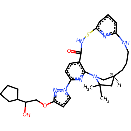 CC1(C)C[C@@H]2CCCNc3cccc(n3)SNC(=O)c3ccc(-n4ccc(OCC(O)C5CCCC5)n4)nc3N1C2